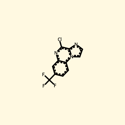 FC(F)(F)c1ccc2c(c1)nc(Cl)c1nccn12